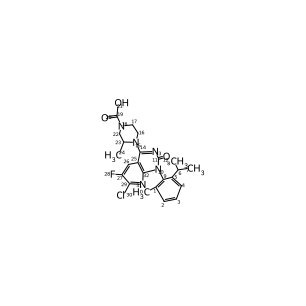 Cc1cccc(C(C)C)c1-n1c(=O)nc(N2CCN(C(=O)O)CC2C)c2cc(F)c(Cl)nc21